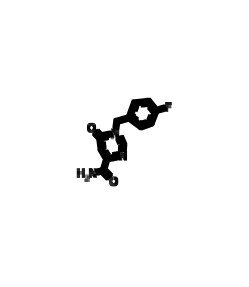 NC(=O)c1cc(=O)n(Cc2ccc(F)cc2)cn1